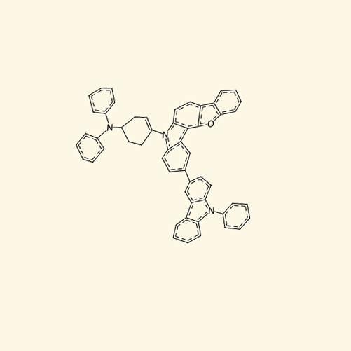 C1=C(n2c3ccc(-c4ccc5c(c4)c4ccccc4n5-c4ccccc4)cc3c3c4oc5ccccc5c4ccc32)CCC(N(c2ccccc2)c2ccccc2)C1